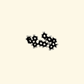 CC1(C)c2ccccc2-c2c(N(c3ccc4cc(-c5cccc6c5-c5ccccc5C65C6CC7CC(C6)CC5C7)ccc4c3)c3cccc4c3sc3ccccc34)cccc21